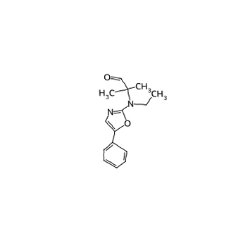 CCN(c1ncc(-c2ccccc2)o1)C(C)(C)C=O